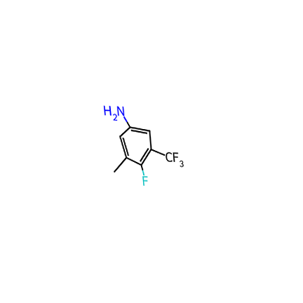 Cc1cc(N)cc(C(F)(F)F)c1F